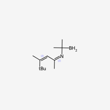 BC(C)(C)/N=C(C)\C=C(\C)C(C)(C)C